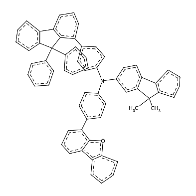 CC1(C)c2ccccc2-c2ccc(N(c3ccc(-c4cccc5c4C(c4ccccc4)(c4ccccc4)c4ccccc4-5)cc3)c3ccc(-c4cccc5c4oc4ccccc45)cc3)cc21